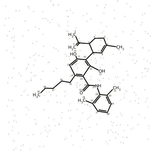 C=C(C)C1CCC(C)=CC1c1c(O)cc(CCCCC)c(C(=O)Nc2c(C)cccc2C)c1O